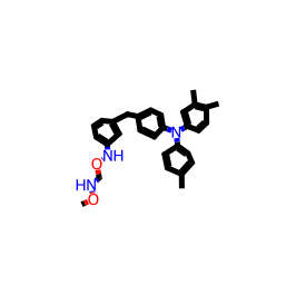 CONCONc1cccc(Cc2ccc(N(c3ccc(C)cc3)c3ccc(C)c(C)c3)cc2)c1